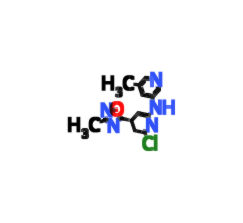 Cc1cncc(NC2=C[C@H](c3nc(C)no3)CC(Cl)=N2)c1